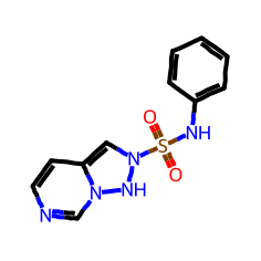 O=S(=O)(Nc1ccccc1)N1C=C2C=CN=CN2N1